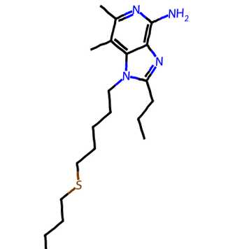 CCCCSCCCCCn1c(CCC)nc2c(N)nc(C)c(C)c21